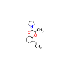 C=Cc1ccccc1OC(C)C(=O)N1CCCC1